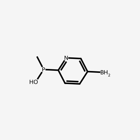 Bc1ccc(P(C)O)nc1